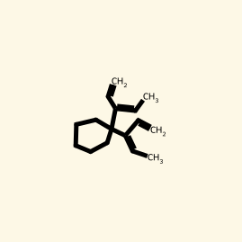 C=C/C(=C\C)C1(/C(C=C)=C/C)CCCCC1